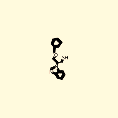 SC[C@H](COCc1ccccc1)n1cnc2ccccc21